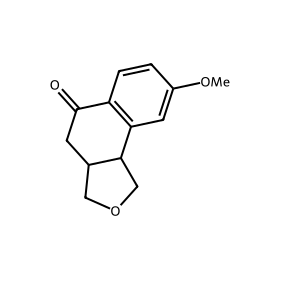 COc1ccc2c(c1)C1COCC1CC2=O